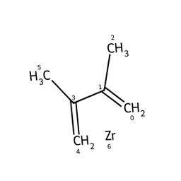 C=C(C)C(=C)C.[Zr]